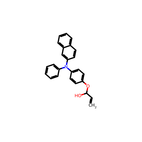 C=CC(O)Oc1ccc(N(c2ccccc2)c2ccc3ccccc3c2)cc1